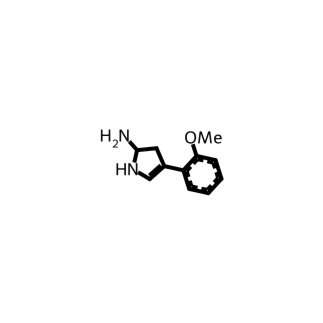 COc1ccccc1C1=CNC(N)C1